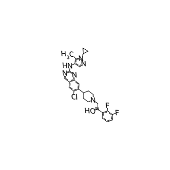 Cc1c(Nc2ncc3cc(Cl)c(C4CCN(C[C@H](O)c5cccc(F)c5F)CC4)cc3n2)cnn1C1CC1